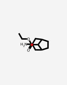 CCOC(=O)C1C2CCC1CC(N)C2